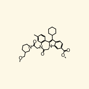 COCC1CCCN(C(=O)CN2C(=O)Cn3c(c(C4CCCCC4)c4ccc(C(=O)OC)cc43)-c3ccc(C)cc32)C1